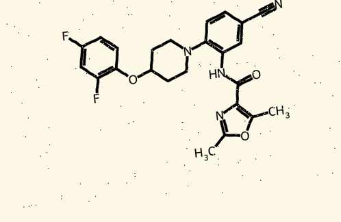 Cc1nc(C(=O)Nc2cc(C#N)ccc2N2CCC(Oc3ccc(F)cc3F)CC2)c(C)o1